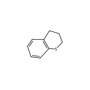 [c]1cccc2c1SCCC2